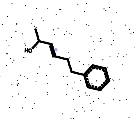 CC(O)/C=C/CCc1ccccc1